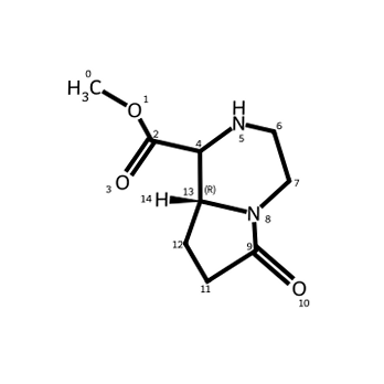 COC(=O)C1NCCN2C(=O)CC[C@H]12